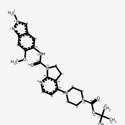 COc1cc2nn(C)cc2cc1NC(=O)N1CCc2c(N3CCN(C(=O)OC(C)(C)C)CC3)ccnc21